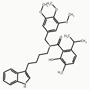 COc1cc(CN(CCCCc2c[nH]c3ccccc23)C(=O)c2c(C(C)C)ccc(C)c2O)cc(OC)c1OC